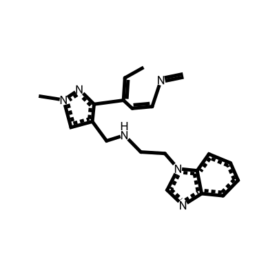 C=N/C=C\C(=C/C)c1nn(C)cc1CNCCn1cnc2ccccc21